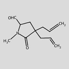 C=CCC1(CC=C)CC(C=O)N(C)C1=O